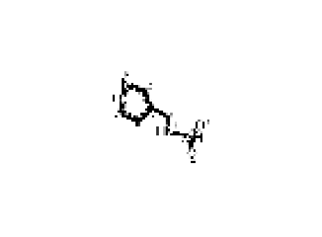 O=[SH](=O)NCc1cccnc1